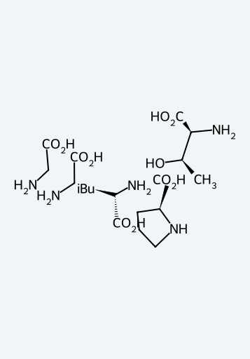 CC[C@H](C)[C@H](N)C(=O)O.C[C@@H](O)[C@H](N)C(=O)O.NCC(=O)O.NCC(=O)O.O=C(O)[C@@H]1CCCN1